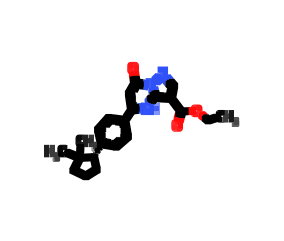 CCOC(=O)c1cnn2c(=O)cc(-c3ccc([C@@H]4CCCC4(C)C)cc3)[nH]c12